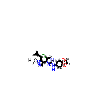 Cn1ncc(-c2nc(NC3CCC4(CC3)OCCO4)ncc2Cl)c1CC1CC1